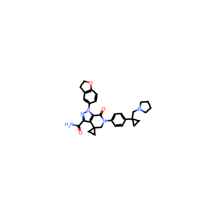 NC(=O)c1nn(-c2ccc3c(c2)CCO3)c2c1C1(CC1)CN(c1ccc(C3(CN4CCCC4)CC3)cc1)C2=O